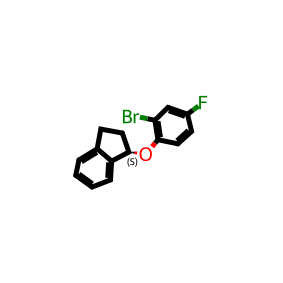 Fc1ccc(O[C@H]2CCc3ccccc32)c(Br)c1